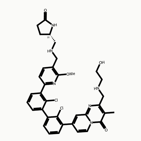 COc1nc(-c2cccc(-c3cccc(-c4ccn5c(=O)c(C)c(CNCCO)nc5c4)c3Cl)c2Cl)ccc1CNC[C@@H]1CCC(=O)N1